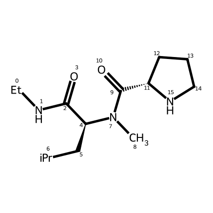 CCNC(=O)[C@H](CC(C)C)N(C)C(=O)[C@@H]1CCCN1